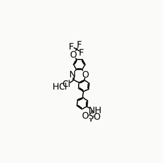 CS(=O)(=O)Nc1cccc(-c2ccc3c(c2)C(Cl)=Nc2cc(OC(F)(F)F)ccc2O3)c1.Cl